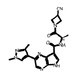 Cc1nn(C)cc1-c1cnc2[nH]cc(C(=O)N[C@H](C)C(=O)N3CC(C#N)C3)c2n1